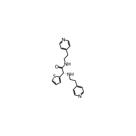 O=C(NCCc1ccncc1)[C@H](NCCc1ccncc1)c1cccs1